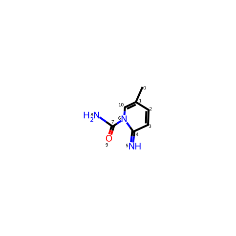 Cc1ccc(=N)n(C(N)=O)c1